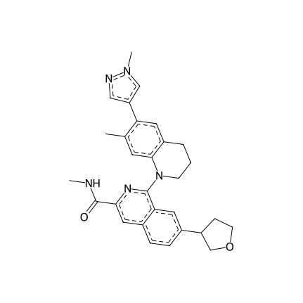 CNC(=O)c1cc2ccc(C3CCOC3)cc2c(N2CCCc3cc(-c4cnn(C)c4)c(C)cc32)n1